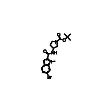 Cn1c(C(=O)NC2CCN(C(=O)OC(C)(C)C)C2)cc2ccc(Br)cc21